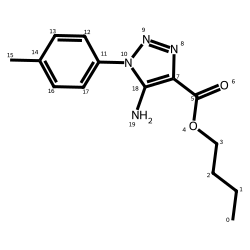 CCCCOC(=O)c1nnn(-c2ccc(C)cc2)c1N